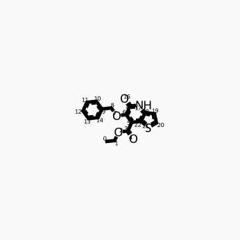 CCOC(=O)c1c(OCc2ccccc2)c(=O)[nH]c2ccsc12